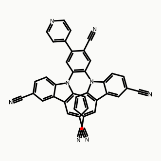 N#Cc1ccc2c(c1)c1cc(C#N)ccc1n2-c1cc(C#N)c(-c2ccncc2)cc1-n1c2ccc(C#N)cc2c2cc(C#N)ccc21